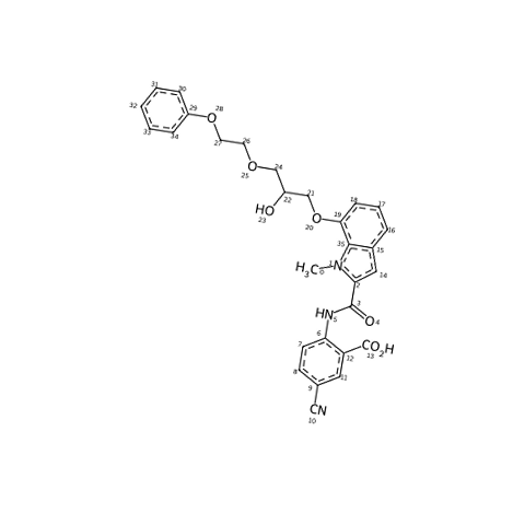 Cn1c(C(=O)Nc2ccc(C#N)cc2C(=O)O)cc2cccc(OCC(O)COCCOc3ccccc3)c21